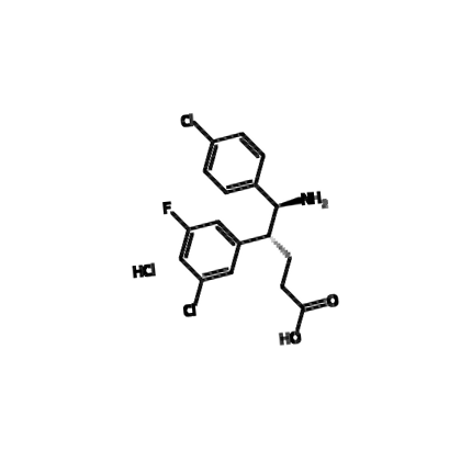 Cl.N[C@H](c1ccc(Cl)cc1)[C@H](CCC(=O)O)c1cc(F)cc(Cl)c1